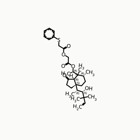 C=CC(C)(C)[C@@H](O)[C@H](C)[C@]12CCC(=O)[C@H]1[C@](C)([C@@H](C)OC(=O)COC(=O)CSc1ccccc1)[C@H](C)CC2